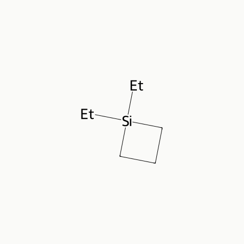 CC[Si]1(CC)CCC1